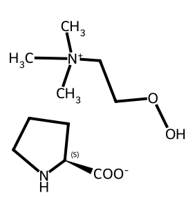 C[N+](C)(C)CCOO.O=C([O-])[C@@H]1CCCN1